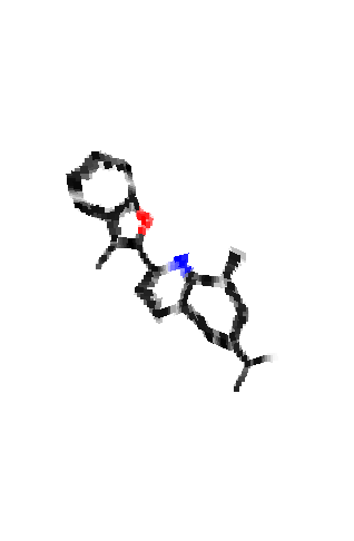 Cc1c(-c2ccc3cc(C(C)C)cc(C)c3n2)oc2ccccc12